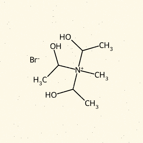 CC(O)[N+](C)(C(C)O)C(C)O.[Br-]